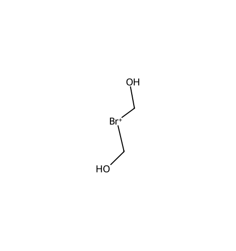 OC[Br+]CO